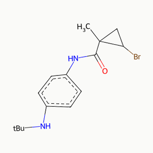 CC(C)(C)Nc1ccc(NC(=O)C2(C)CC2Br)cc1